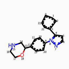 c1ccc(-c2ccnn2-c2ccc(C3CNCCO3)cc2)cc1